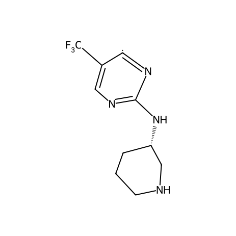 FC(F)(F)c1[c]nc(N[C@H]2CCCNC2)nc1